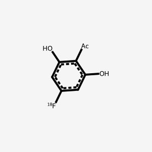 CC(=O)c1c(O)cc([18F])cc1O